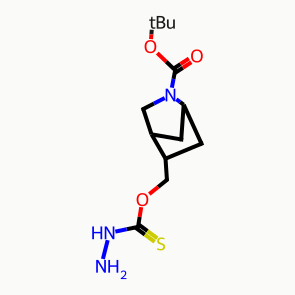 CC(C)(C)OC(=O)N1CC2CC1CC2COC(=S)NN